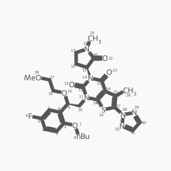 CCCCOc1ccc(F)cc1[C@H](Cn1c(=O)n([C@H]2CCN(C)C2=O)c(=O)c2c(C)c(-n3nccn3)sc21)OCCOC